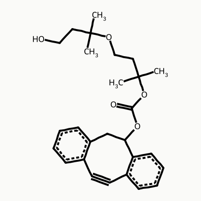 CC(C)(CCO)OCCC(C)(C)OC(=O)OC1Cc2ccccc2C#Cc2ccccc21